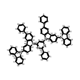 c1ccc(-c2ccc3c(c2)c2cc(-n4c5ccccc5c5ccccc54)ccc2n3-c2cc(-n3c4ccc(-c5ccccc5)cc4c4cc(-n5c6ccccc6c6ccccc65)ccc43)nc(-c3ccccc3)n2)cc1